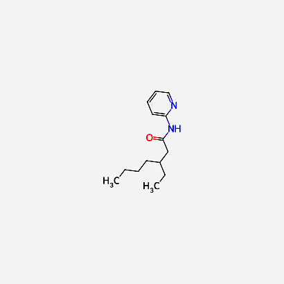 CCCCC(CC)CC(=O)Nc1ccccn1